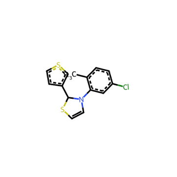 Cc1ccc(Cl)cc1N1C=CSC1c1ccsc1